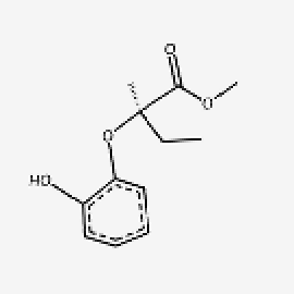 CC[C@@](C)(Oc1ccccc1O)C(=O)OC